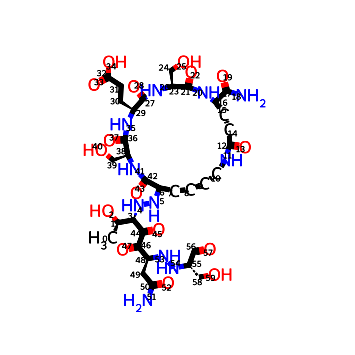 C[C@@H](O)[C@H](NNC1CCCCNC(=O)CCC(C(N)=O)NC(=O)[C@H](CO)NC(=O)[C@H](CCC(=O)O)NC(=O)[C@H](CO)NC1=O)C(=O)C(=O)[C@H](CC(N)=O)NN[C@H](C=O)CO